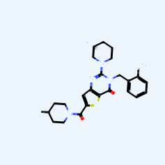 CCOC(=O)C1CCN(C(=O)c2cc3nc(N4CCC[C@@H](N)C4)n(Cc4ccccc4C#N)c(=O)c3s2)CC1